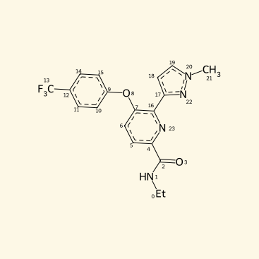 CCNC(=O)c1ccc(Oc2ccc(C(F)(F)F)cc2)c(-c2ccn(C)n2)n1